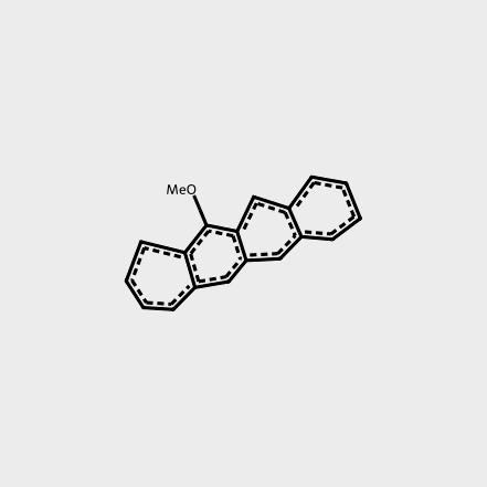 COc1c2ccccc2cc2cc3ccccc3cc12